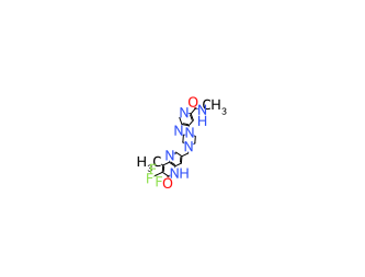 CNC(=O)c1cc2c(cn1)nc1n2CCN(Cc2cnc3c(C)c(C(F)(F)F)c(=O)[nH]c3c2)C1